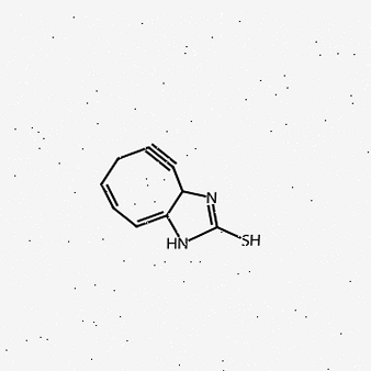 SC1=NC2C#CC/C=C\C=C/2N1